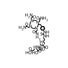 NC(=O)CN1CCN(CC(N)=O)CCN(CC(N)=O)C(Cc2ccc(NC(=S)NCCCC[C@H](NC(=O)N[C@@H](CCC(=O)O)C(=O)O)C(=O)O)cc2)CN(CC(N)=O)CC1